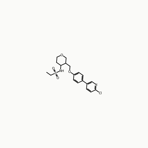 CCS(=O)(=O)NC1CCOCC1COc1ccc(-c2ccc(Cl)nc2)cc1